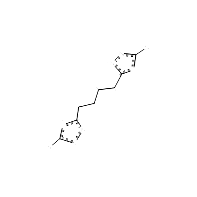 Nc1nnc(CCCCc2nnc(N)o2)o1